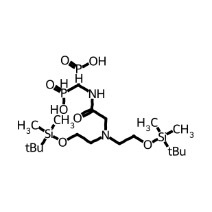 CC(C)(C)[Si](C)(C)OCCN(CCO[Si](C)(C)C(C)(C)C)CC(=O)NC([PH](=O)O)[PH](=O)O